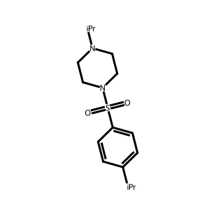 CC(C)c1ccc(S(=O)(=O)N2CCN(C(C)C)CC2)cc1